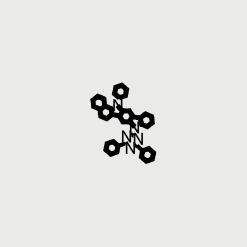 c1ccc(-c2nc(-c3ccccc3)nc(-n3c4ccccc4c4cc5c(cc43)c3ccc4ccccc4c3n5-c3ccccc3)n2)cc1